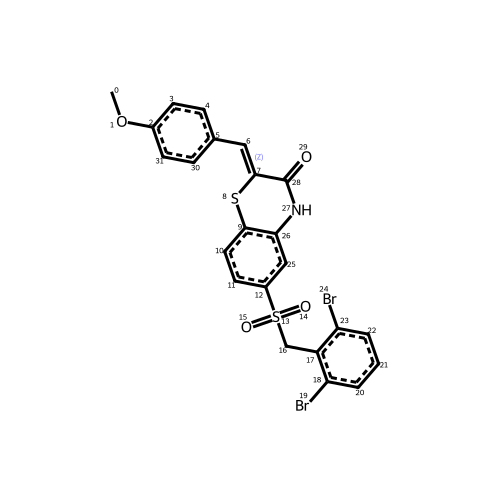 COc1ccc(/C=C2\Sc3ccc(S(=O)(=O)Cc4c(Br)cccc4Br)cc3NC2=O)cc1